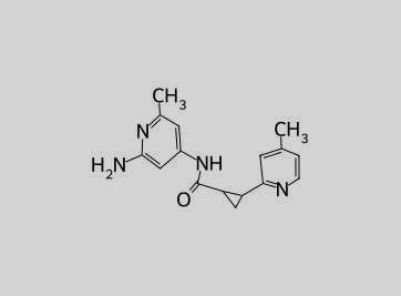 Cc1ccnc(C2CC2C(=O)Nc2cc(C)nc(N)c2)c1